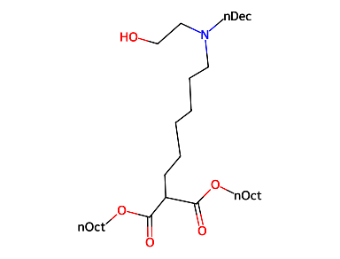 CCCCCCCCCCN(CCO)CCCCCCC(C(=O)OCCCCCCCC)C(=O)OCCCCCCCC